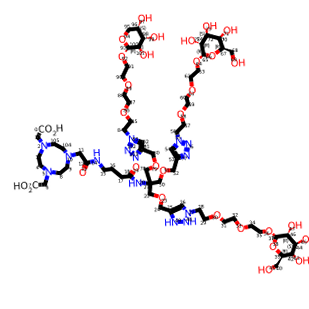 O=C(O)CN1CCN(CC(=O)O)CCN(CC(=O)NCCCC(=O)NC(COCC2=CN(CCOCCOCCO[C@@H]3O[C@H](CO)[C@H](O)[C@H](O)[C@H]3O)NN2)(COCc2cn(CCOCCOCCO[C@@H]3O[C@H](CO)[C@H](O)[C@H](O)[C@H]3O)nn2)COCc2cn(CCOCCOCCO[C@@H]3OC[C@H](O)[C@H](O)[C@H]3O)nn2)CC1